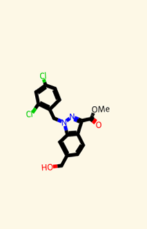 COC(=O)c1nn(Cc2ccc(Cl)cc2Cl)c2cc(CO)ccc12